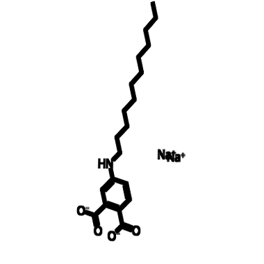 CCCCCCCCCCCCNc1ccc(C(=O)[O-])c(C(=O)[O-])c1.[Na+].[Na+]